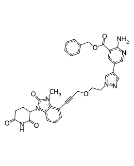 Cn1c(=O)n(C2CCC(=O)NC2=O)c2cccc(C#CCOCCn3cc(-c4cnc(N)c(C(=O)OCc5ccccc5)c4)cn3)c21